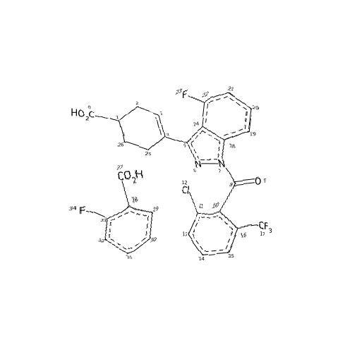 O=C(O)C1CC=C(c2nn(C(=O)c3c(Cl)cccc3C(F)(F)F)c3cccc(F)c23)CC1.O=C(O)c1ccccc1F